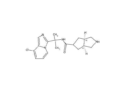 CC(C)(NC(=O)C1C[C@H]2CNC[C@H]2C1)c1ncc2c(Cl)cccn12